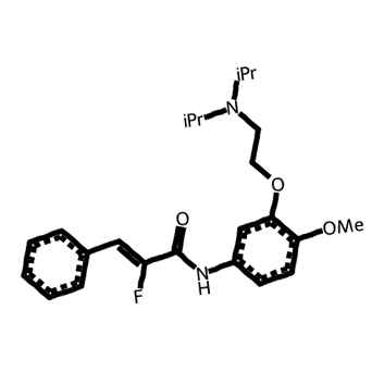 COc1ccc(NC(=O)C(F)=Cc2ccccc2)cc1OCCN(C(C)C)C(C)C